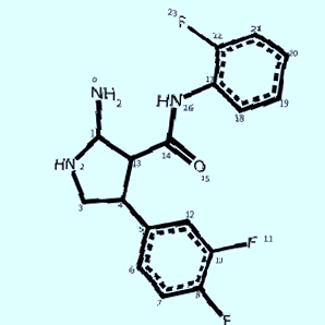 NC1NCC(c2ccc(F)c(F)c2)C1C(=O)Nc1ccccc1F